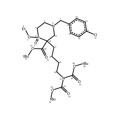 CCOP1(=O)CCN(Cc2ccc(Cl)cc2)CC1(CCCCN(C(=O)OC(C)(C)C)C(=O)OC(C)(C)C)C(=O)OC(C)(C)C